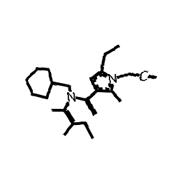 C=C(c1cc(CC)n(CCC)c1C)N(CC1CCCCC1)/C(C)=C(/C)CC